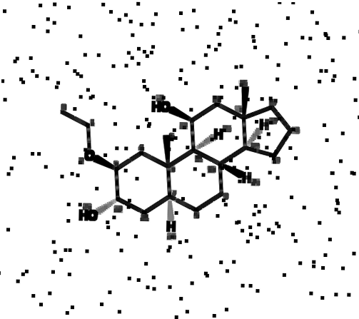 CCO[C@H]1C[C@@]2(C)[C@@H](CC[C@@H]3[C@@H]2[C@@H](O)C[C@]2(C)CCC[C@@H]32)C[C@@H]1O